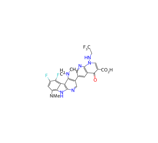 CNc1cc(F)c(F)c2c1[nH]c1ncc(-c3cnc4c(c3)c(=O)c(C(=O)O)cn4NCC(F)(F)F)c(N(C)C)c12